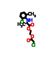 Cc1cccc(Cl)c1N[C@@H](C)C(=O)OCCOC(=O)CCl